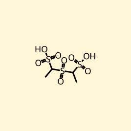 CC(S(=O)(=O)O)S(=O)(=O)C(C)S(=O)(=O)O